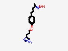 CC(CCCc1ccc(OCCCc2c[nH]cn2)cc1)=NO